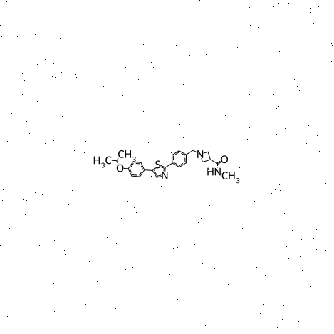 CNC(=O)C1CN(Cc2ccc(-c3ncc(-c4ccc(OC(C)C)cc4)s3)cc2)C1